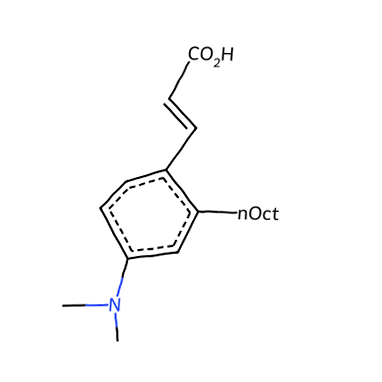 CCCCCCCCc1cc(N(C)C)ccc1/C=C/C(=O)O